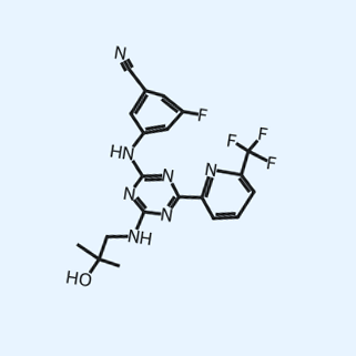 CC(C)(O)CNc1nc(Nc2cc(F)cc(C#N)c2)nc(-c2cccc(C(F)(F)F)n2)n1